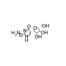 NOc1nc(=O)c([C@@H]2O[C@H](CO)C(O)C2O)c[nH]1